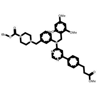 COC(=O)CCc1ccc(-c2cc(N(Cc3c(OC)cc(OC)cc3OC)c3cccc(CN4CCN(C(=O)OC(C)(C)C)CC4)c3)ncn2)cc1